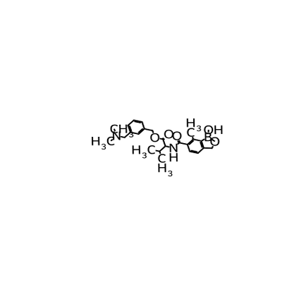 Cc1c(C(=O)NC(C(=O)OCc2cccc(CN(C)C)c2)C(C)C)ccc2c1B(O)OC2